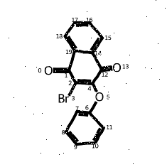 O=C1C(Br)=C(Oc2ccccc2)C(=O)c2ccccc21